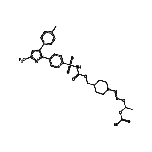 CCC(=O)OC(C)ON=NN1CCC(COC(=O)NS(=O)(=O)c2ccc(-n3nc(C(F)(F)F)cc3-c3ccc(C)cc3)cc2)CC1